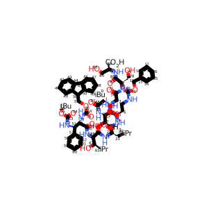 CC[C@H](C)[C@H](NC(=O)[C@@H](CCNC(=O)OCc1ccccc1)NC(=O)[C@H](CC(C)C)NC(=O)C(NC(=O)[C@@H](NC(=O)OCC1c2ccccc2-c2ccccc21)[C@H](NC(=O)OC(C)(C)C)c1ccccc1)[C@H](O)C(C)C)C(=O)N[C@H](C(=O)NCC(=O)N[C@@H](CO)C(=O)N[C@@H](CO)C(=O)O)[C@H](C)O